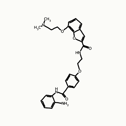 CN(C)CCOc1cccc2cc(C(=O)NCCOc3ccc(C(=O)Nc4ccccc4N)cc3)oc12